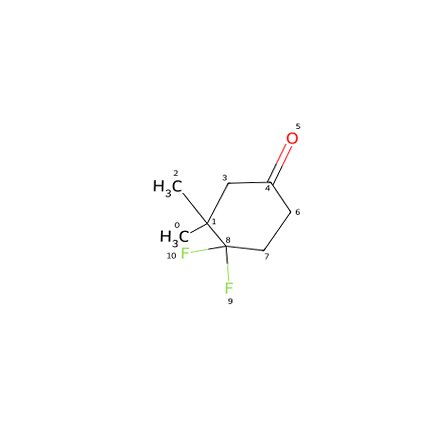 CC1(C)CC(=O)CCC1(F)F